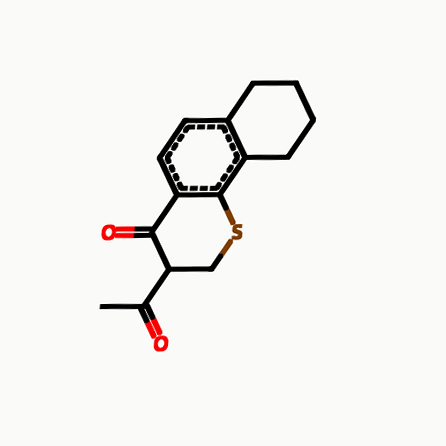 CC(=O)C1CSc2c(ccc3c2CCCC3)C1=O